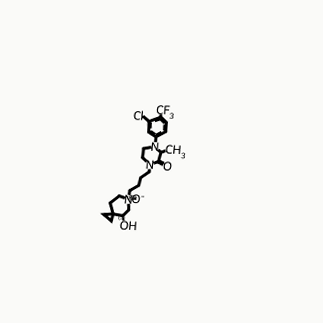 CC1C(=O)N(CCCC[N@@+]2([O-])CCC3(CC3)[C@H](O)C2)CCN1c1ccc(C(F)(F)F)c(Cl)c1